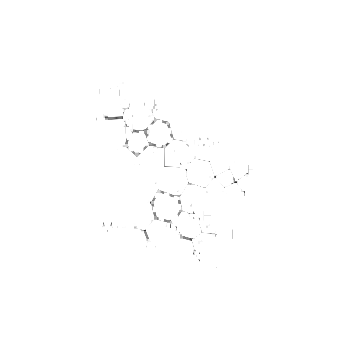 COC(=O)c1ccc(C2CC3(CCN2Cc2c(OC)cc(C)c4c2ccn4C(=O)OC(C)(C)C)CC(F)(F)C3)c(NC(C)C(N)=O)n1